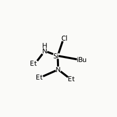 CCN[Si](Cl)(C(C)CC)N(CC)CC